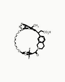 Cc1c2ccc3c1nnn3CCCCCCOc1cc(F)c(c(F)c1)C(=O)N1CCc3ccc(cc3C1)C2CC(=O)O